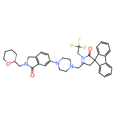 O=C1c2cc(N3CCN(CCCC4(C(=O)NCC(F)(F)F)c5ccccc5-c5ccccc54)CC3)ccc2CN1CC1CCCCO1